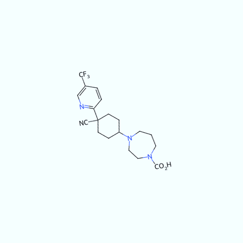 N#CC1(c2ccc(C(F)(F)F)cn2)CCC(N2CCCN(C(=O)O)CC2)CC1